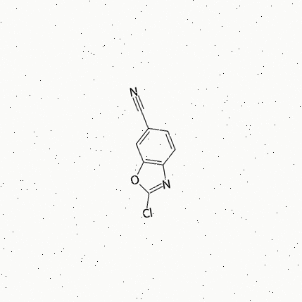 N#Cc1ccc2nc(Cl)oc2c1